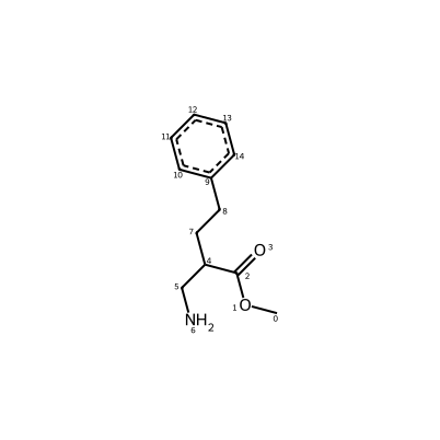 COC(=O)C(CN)CCc1ccccc1